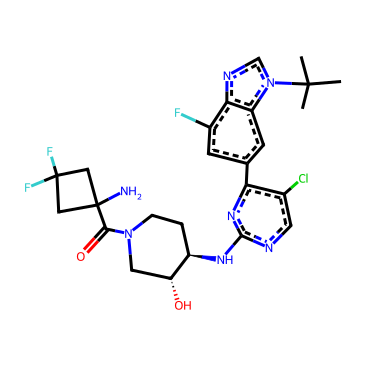 CC(C)(C)n1cnc2c(F)cc(-c3nc(N[C@@H]4CCN(C(=O)C5(N)CC(F)(F)C5)C[C@H]4O)ncc3Cl)cc21